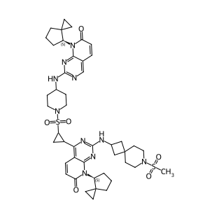 CS(=O)(=O)N1CCC2(CC1)CC(Nc1nc(C3CC3S(=O)(=O)N3CCC(Nc4ncc5ccc(=O)n([C@H]6CCCC67CC7)c5n4)CC3)c3ccc(=O)n([C@H]4CCCC45CC5)c3n1)C2